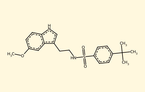 COc1ccc2[nH]cc(CCNS(=O)(=O)c3ccc(C(C)(C)C)cc3)c2c1